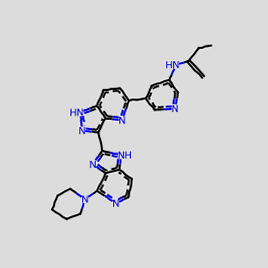 C=C(CC)Nc1cncc(-c2ccc3[nH]nc(-c4nc5c(N6CCCCC6)nccc5[nH]4)c3n2)c1